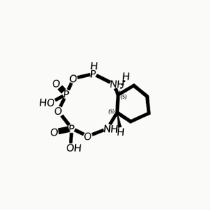 O=P1(O)ON[C@H]2CCCC[C@@H]2NPOP(=O)(O)O1